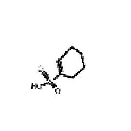 O=S(=O)(O)C1=CCCCC1